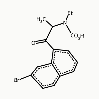 CCN(C(=O)O)C(C)C(=O)c1cccc2ccc(Br)cc12